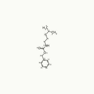 CC(C)SCCNC(=O)OCc1ccccc1